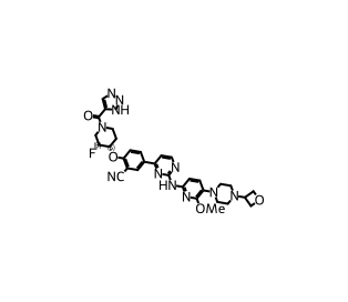 COc1nc(Nc2nccc(-c3ccc(O[C@H]4CCN(C(=O)c5cnn[nH]5)C[C@H]4F)c(C#N)c3)n2)ccc1N1CCN(C2COC2)CC1